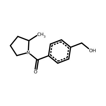 CC1CCCN1C(=O)c1ccc(CO)cc1